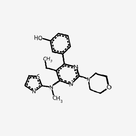 CCc1c(-c2cccc(O)c2)nc(N2CCOCC2)nc1N(C)c1nccs1